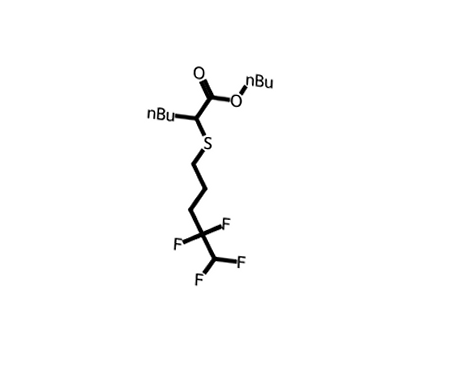 CCCCOC(=O)C(CCCC)SCCCC(F)(F)C(F)F